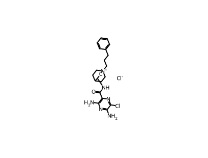 Nc1nc(N)c(C(=O)NC2C[N+]3(CCCc4ccccc4)CCC2CC3)nc1Cl.[Cl-]